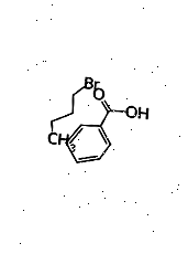 CCCCBr.O=C(O)c1ccccc1